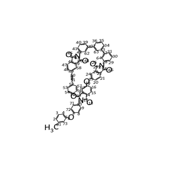 Cc1cccc(Oc2ccc(N3C(=O)c4ccc(Oc5ccc6c(c5)C(=O)N(c5cccc(-c7cccc(-c8cccc(N9C(=O)c%10ccc(C#Cc%11ccccc%11)cc%10C9=O)c8)c7)c5)C6=O)cc4C3=O)cc2)c1